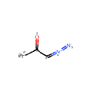 CC(C)C(=O)[C]=[N+]=[N-]